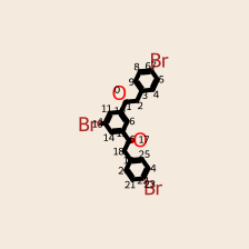 O=C(Cc1ccc(Br)cc1)c1cc(Br)cc(C(=O)Cc2ccc(Br)cc2)c1